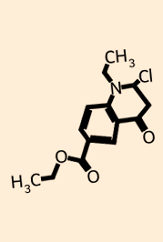 CCOC(=O)c1ccc2c(c1)C(=O)CC(Cl)N2CC